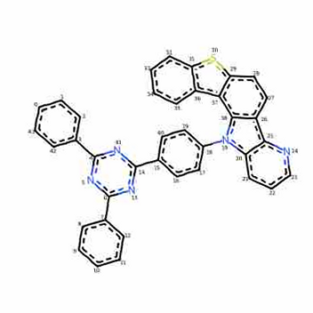 c1ccc(-c2nc(-c3ccccc3)nc(-c3ccc(-n4c5cccnc5c5ccc6sc7ccccc7c6c54)cc3)n2)cc1